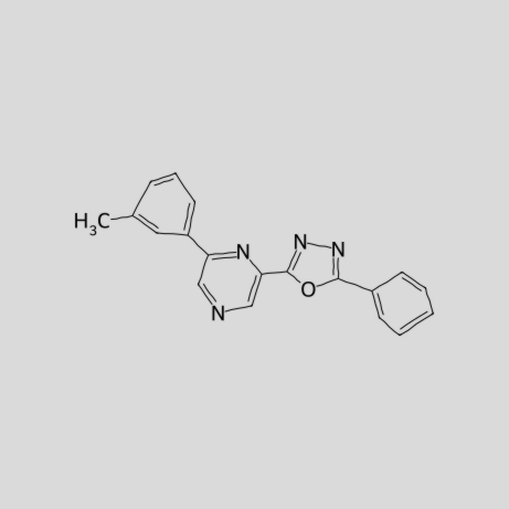 Cc1cccc(-c2cncc(-c3nnc(-c4ccccc4)o3)n2)c1